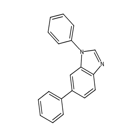 c1ccc(-c2ccc3ncn(-c4ccccc4)c3c2)cc1